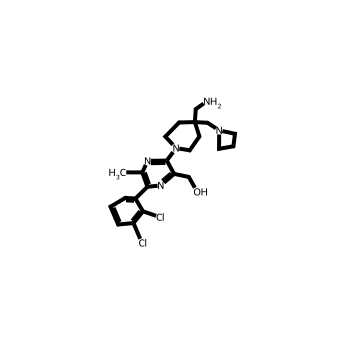 Cc1nc(N2CCC(CN)(CN3CCC3)CC2)c(CO)nc1-c1cccc(Cl)c1Cl